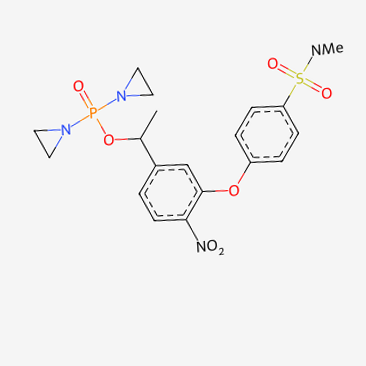 CNS(=O)(=O)c1ccc(Oc2cc(C(C)OP(=O)(N3CC3)N3CC3)ccc2[N+](=O)[O-])cc1